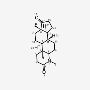 CN1C(=O)CC[C@@]2(C)C1CC[C@@H]1[C@@H]2CC[C@]2(C)C(=O)CC[C@@H]12